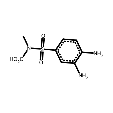 CN(C(=O)O)S(=O)(=O)c1ccc(N)c(N)c1